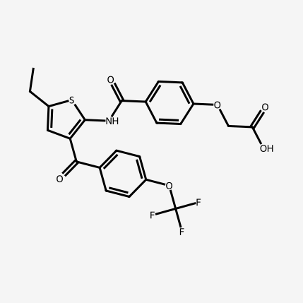 CCc1cc(C(=O)c2ccc(OC(F)(F)F)cc2)c(NC(=O)c2ccc(OCC(=O)O)cc2)s1